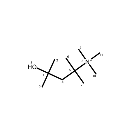 CC(C)(O)CC(C)(C)[N+](C)(C)C